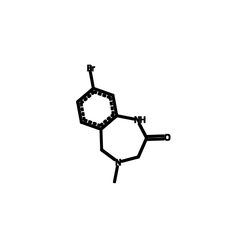 CN1CC(=O)Nc2cc(Br)ccc2C1